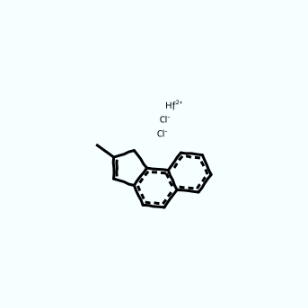 CC1=Cc2ccc3ccccc3c2C1.[Cl-].[Cl-].[Hf+2]